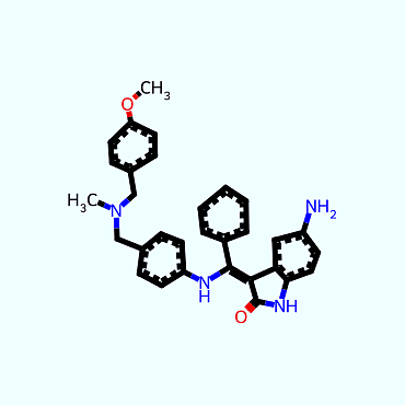 COc1ccc(CN(C)Cc2ccc(N/C(=C3\C(=O)Nc4ccc(N)cc43)c3ccccc3)cc2)cc1